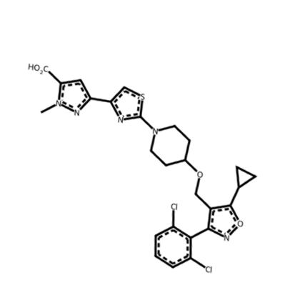 Cn1nc(-c2csc(N3CCC(OCc4c(-c5c(Cl)cccc5Cl)noc4C4CC4)CC3)n2)cc1C(=O)O